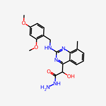 COc1ccc(CNc2nc(C(O)C(=O)NN)c3cccc(C)c3n2)c(OC)c1